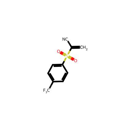 C=C(C#N)S(=O)(=O)c1ccc(C(F)(F)F)cc1